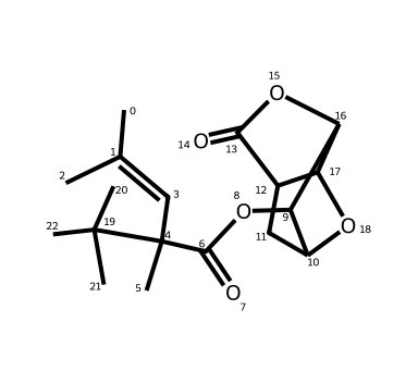 CC(C)=CC(C)(C(=O)OC1C2CC3C(=O)OC1C3O2)C(C)(C)C